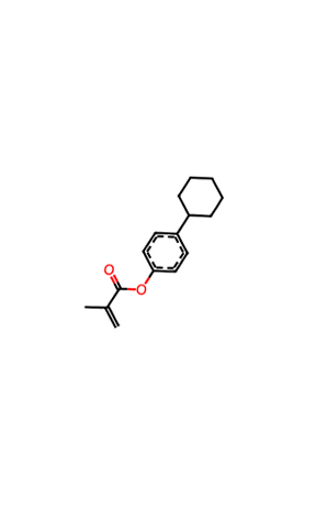 C=C(C)C(=O)Oc1ccc(C2CCCCC2)cc1